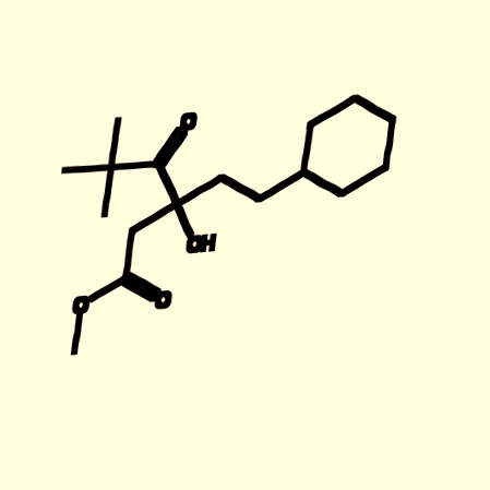 COC(=O)CC(O)(CCC1CCCCC1)C(=O)C(C)(C)C